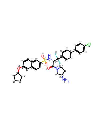 N[C@@H]1CCN(C(=O)[C@H](NS(=O)(=O)c2ccc3cc(OC4CCCC4)ccc3c2)C(F)(F)c2ccc(-c3ccc(Cl)cc3)cc2)C1